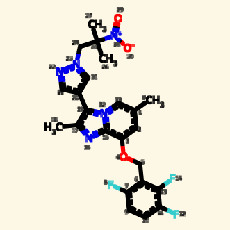 Cc1cc(OCc2c(F)ccc(F)c2F)c2nc(C)c(-c3cnn(CC(C)(C)[N+](=O)[O-])c3)n2c1